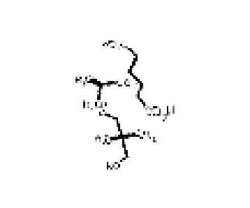 C=C(C)C(=O)O.CC(C)(CO)CO.O=C(O)CCCCC(=O)O